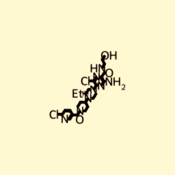 CC[C@H]1CN(c2nc(N)c(C(=O)NCCO)nc2Cl)CCN1C1CCN(C(=O)c2ccc(Cl)nc2)CC1